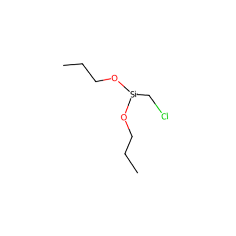 CCCO[Si](CCl)OCCC